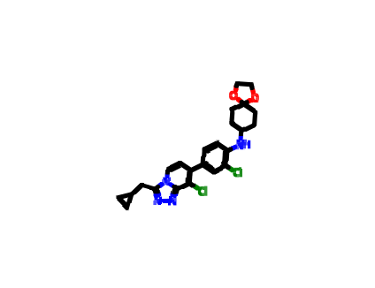 Clc1cc(-c2ccn3c(CC4CC4)nnc3c2Cl)ccc1NC1CCC2(CC1)OCCO2